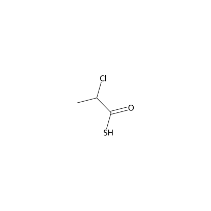 CC(Cl)C(=O)S